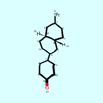 CCCC1CC[C@@H]2CC(C3CCC(=O)CC3)CC[C@H]2C1